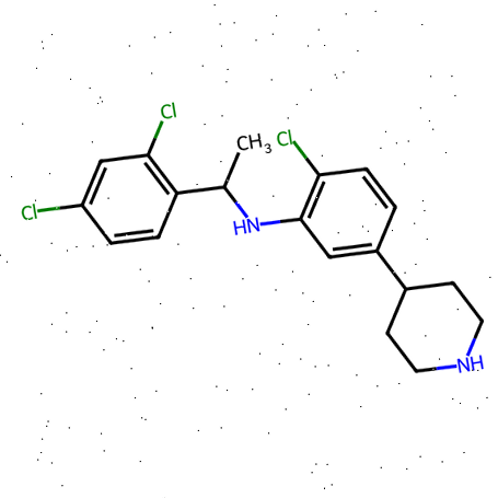 CC(Nc1cc(C2CCNCC2)ccc1Cl)c1ccc(Cl)cc1Cl